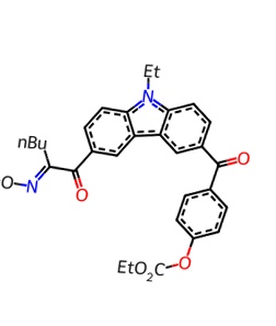 CCCC/C(=N\OC(C)=O)C(=O)c1ccc2c(c1)c1cc(C(=O)c3ccc(OC(=O)OCC)cc3)ccc1n2CC